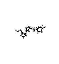 CSc1sccc1-c1csc(NCc2ccc(C)cc2)n1